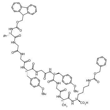 CC(C)[C@H](NC(=O)OCC1c2ccccc2-c2ccccc21)C(=O)NCC(=O)NCC(=O)N[C@@H](Cc1ccc(OC(C)(C)C)cc1)C(=O)NCC(=O)N[C@@H](Cc1ccc(OC(C)(C)C)cc1)C(=O)NCC(=O)N[C@@H](C)C(=O)N[C@@H](CCCCNC(=O)OCc1ccccc1)C(=O)O